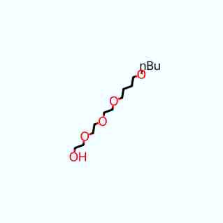 CCCCOCCCCOCCOCCOCCO